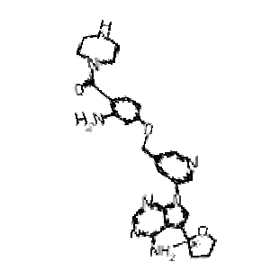 C[C@]1(c2cn(-c3cncc(COc4ccc(C(=O)N5CCNCC5)c(N)c4)c3)c3ncnc(N)c23)CCCO1